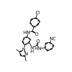 [C-]#[N+]c1cccc(NC(=O)Nc2cc(NC(=O)c3ccc(Cl)cc3)ccc2-n2nc(C)cc2C)c1